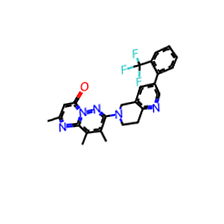 Cc1cc(=O)n2nc(N3CCc4ncc(-c5ccccc5C(F)(F)F)cc4C3)c(C)c(C)c2n1